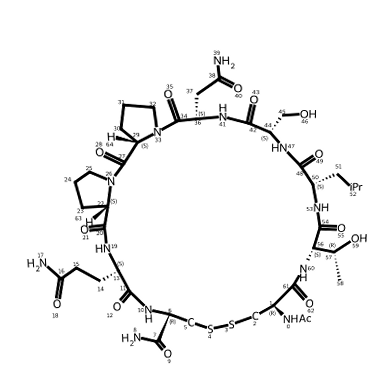 CC(=O)N[C@H]1CSSC[C@@H](C(N)=O)NC(=O)[C@H](CCC(N)=O)NC(=O)[C@@H]2CCCN2C(=O)[C@@H]2CCCN2C(=O)[C@H](CC(N)=O)NC(=O)[C@H](CO)NC(=O)[C@H](CC(C)C)NC(=O)[C@H]([C@@H](C)O)NC1=O